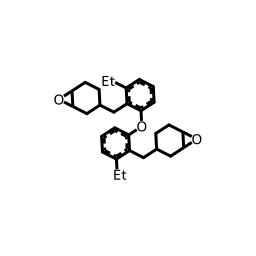 CCc1cccc(Oc2cccc(CC)c2CC2CCC3OC3C2)c1CC1CCC2OC2C1